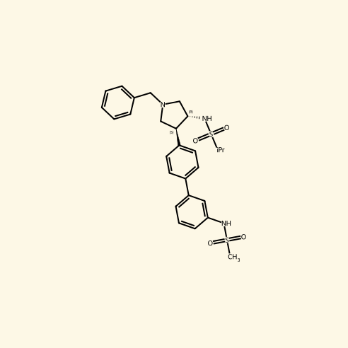 CC(C)S(=O)(=O)N[C@H]1CN(Cc2ccccc2)C[C@@H]1c1ccc(-c2cccc(NS(C)(=O)=O)c2)cc1